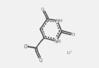 O=C([O-])c1cc(=O)[nH]c(=O)[nH]1.[Li+]